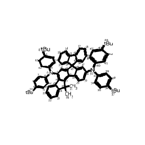 CC(C)(C)C1=CC=C(N(c2ccc(C(C)(C)C)cc2)c2cc3c(c4c2-c2ccccc2C4(C)C)-c2ccc(N(c4ccc(C(C)(C)C)cc4)c4ccc(C(C)(C)C)cc4)cc2C32c3ccccc3-c3ccccc32)CC1